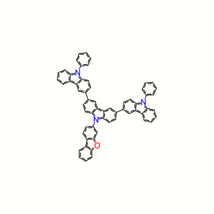 c1ccc(-n2c3ccccc3c3cc(-c4ccc5c(c4)c4cc(-c6ccc7c(c6)c6ccccc6n7-c6ccccc6)ccc4n5-c4ccc5c(c4)oc4ccccc45)ccc32)cc1